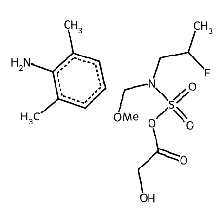 COCN(CC(C)F)S(=O)(=O)OC(=O)CO.Cc1cccc(C)c1N